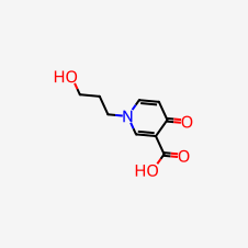 O=C(O)c1cn(CCCO)ccc1=O